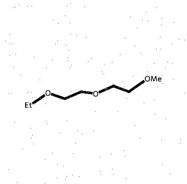 [CH2]COCCOCCO[CH2]